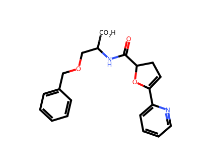 O=C(O)C(COCc1ccccc1)NC(=O)C1CC=C(c2ccccn2)O1